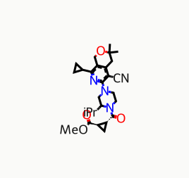 COC(=O)[C@@H]1C[C@H]1C(=O)N1CCN(c2nc(C3CC3)c3c(c2C#N)CC(C)(C)OC3)CC1C(C)C